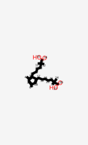 Cc1cc(C)c(CCCCC(C)(C)C(=O)O)c(CCCCCC(C)(C)C(=O)O)c1